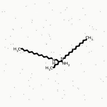 CCCCCCCCCCCCCCN=C(N)C(CCCC)CNCCCCCCCCCCCCCC